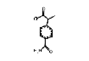 CC(C(=O)Cl)c1ccc(C(N)=O)cc1